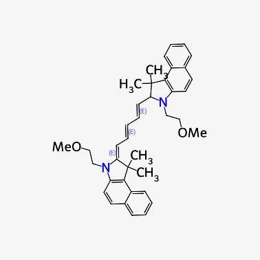 COCCN1/C(=C/C=C/C=C/C2N(CCOC)c3ccc4ccccc4c3C2(C)C)C(C)(C)c2c1ccc1ccccc21